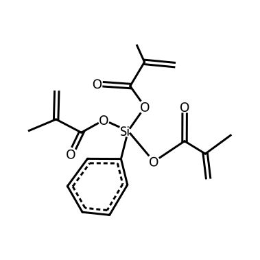 C=C(C)C(=O)O[Si](OC(=O)C(=C)C)(OC(=O)C(=C)C)c1ccccc1